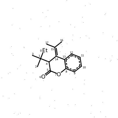 CCC(C)(C)C1C(=O)Oc2ccccc2C1=C(C)C